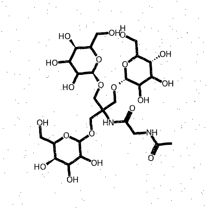 CC(=O)NCC(=O)NC(COC1OC(CO)[C@H](O)C(O)C1O)(CO[C@@H]1OC(CO)[C@H](O)C(O)C1O)CO[C@@H]1OC(CO)[C@H](O)C(O)C1O